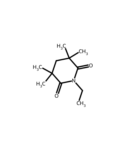 CCN1C(=O)C(C)(C)CC(C)(C)C1=O